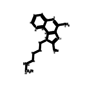 CCCCc1nc2c(N)nc3cccnc3c2n1CCCCNC(=O)OCC